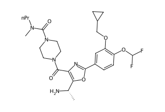 CCCN(C)C(=O)N1CCN(C(=O)c2nc(-c3ccc(OC(F)F)c(OCC4CC4)c3)oc2[C@H](C)N)CC1